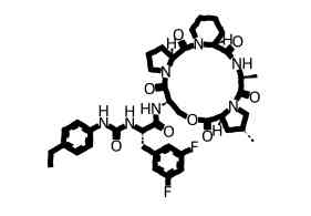 CCc1ccc(NC(=O)N[C@@H](Cc2cc(F)cc(F)c2)C(=O)N[C@H]2COC(=O)[C@@H]3C[C@@H](C)CN3C(=O)[C@H](C)NC(=O)[C@@H]3CCCCN3C(=O)[C@@H]3CCCN3C2=O)cc1